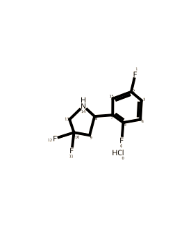 Cl.Fc1ccc(F)c(C2CC(F)(F)CN2)c1